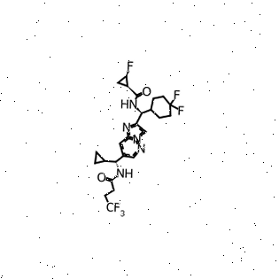 O=C(CCC(F)(F)F)N[C@@H](c1cnn2cc([C@@H](NC(=O)[C@H]3C[C@H]3F)C3CCC(F)(F)CC3)nc2c1)C1CC1